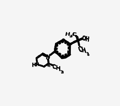 C[C@H]1CNCCN1c1ccc(C(C)(C)O)cc1